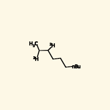 [2H]C(C)C([2H])CCCCCCC